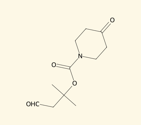 CC(C)(CC=O)OC(=O)N1CCC(=O)CC1